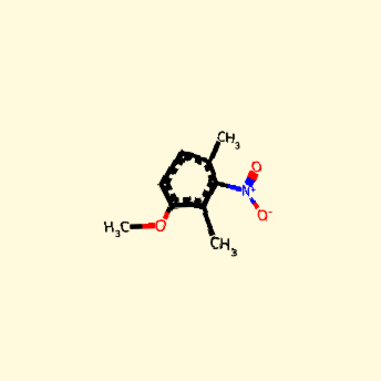 COc1c[c]c(C)c([N+](=O)[O-])c1C